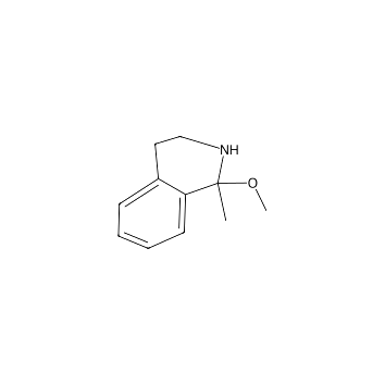 COC1(C)NCCc2ccccc21